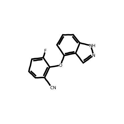 N#Cc1cccc(F)c1Oc1cccc2[nH]ncc12